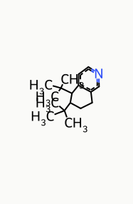 CC(C)(C)C1CCc2cnccc2C1C(C)(C)C